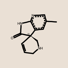 Cc1cnc2c(c1)[C@]1(C=CCNC1)C(=O)N2